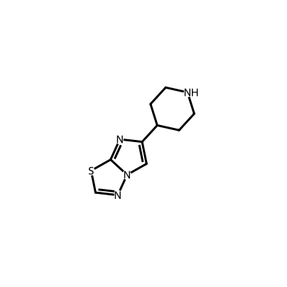 c1nn2cc(C3CCNCC3)nc2s1